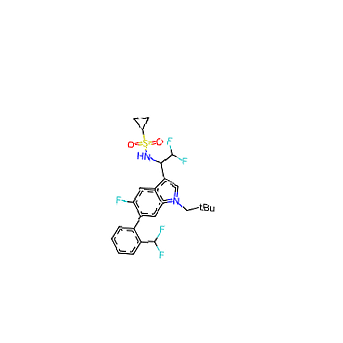 CC(C)(C)Cn1cc(C(NS(=O)(=O)C2CC2)C(F)F)c2cc(F)c(-c3ccccc3C(F)F)cc21